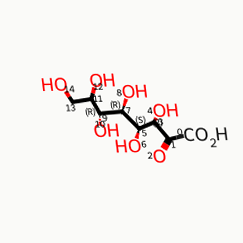 O=C(O)C(=O)[C@H](O)[C@@H](O)[C@H](O)[C@H](O)C(O)CO